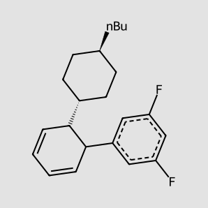 CCCC[C@H]1CC[C@H](C2C=CC=CC2c2cc(F)cc(F)c2)CC1